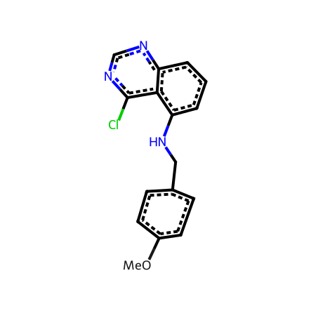 COc1ccc(CNc2cccc3ncnc(Cl)c23)cc1